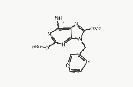 CCCCOc1nc(N)c2nc(OC)n(Cc3cnccn3)c2n1